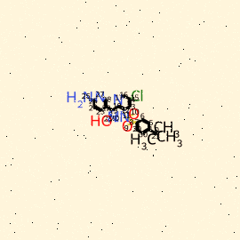 CC(C)(C)c1ccc(S(=O)(=O)Nc2cc(Cl)cnc2/C(=N/O)c2ccc(N)nc2)cc1